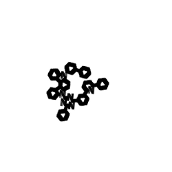 c1ccc(-c2cccc(-n3c4ccccc4c4c5c6ccccc6n(-c6nc(-c7ccccc7)nc(-c7cccc(-c8cccc(-c9ccccc9)n8)c7)n6)c5ccc43)c2)cc1